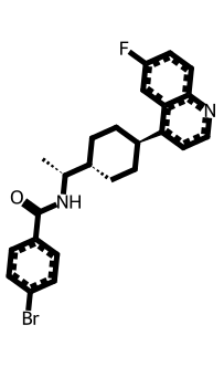 C[C@@H](NC(=O)c1ccc(Br)cc1)[C@H]1CC[C@H](c2ccnc3ccc(F)cc32)CC1